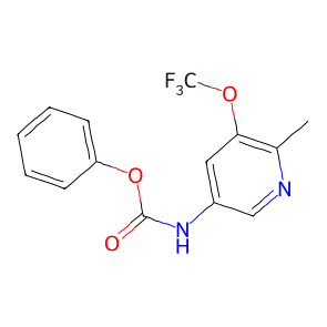 Cc1ncc(NC(=O)Oc2ccccc2)cc1OC(F)(F)F